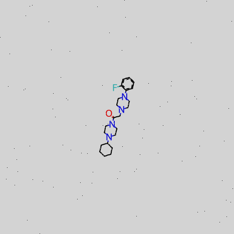 O=C(CN1CCN(c2ccccc2F)CC1)N1CCN(C2CCCCC2)CC1